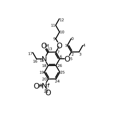 CC=C(CC)Oc1c(OCCCC)c(=O)n(CC)c2cc([N+](=O)[O-])ccc12